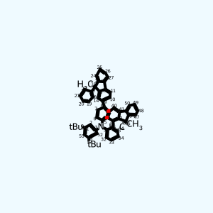 CC(C)(C)c1cc(N(c2ccc(-c3ccc4c(c3)C(C)(c3ccccc3)c3ccccc3-4)cc2)c2ccccc2-c2cccc3c2C(C)(C)c2ccccc2-3)cc(C(C)(C)C)c1